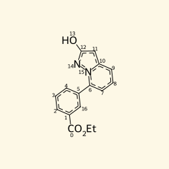 CCOC(=O)c1cccc(-c2cccc3cc(O)nn23)c1